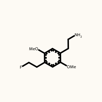 COc1cc(CCF)c(OC)cc1CCN